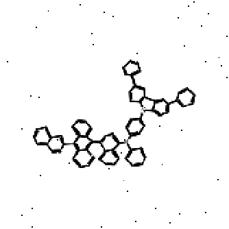 c1ccc(-c2ccc3c(c2)c2cc(-c4ccccc4)ccc2n3-c2ccc(N(c3ccccc3)c3ccc(-c4c5ccccc5c(-c5ccc6ccccc6c5)c5ccccc45)c4ccccc34)cc2)cc1